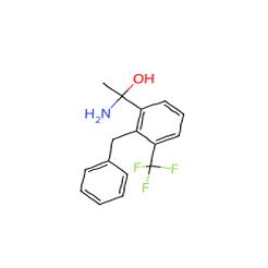 CC(N)(O)c1cccc(C(F)(F)F)c1Cc1ccccc1